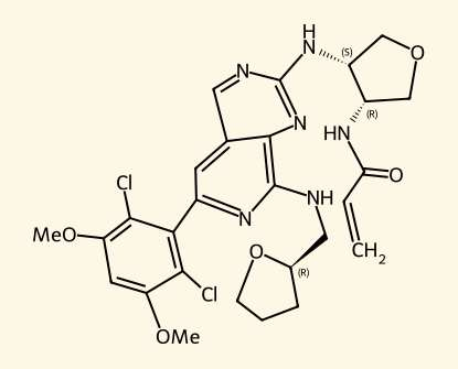 C=CC(=O)N[C@H]1COC[C@H]1Nc1ncc2cc(-c3c(Cl)c(OC)cc(OC)c3Cl)nc(NC[C@H]3CCCO3)c2n1